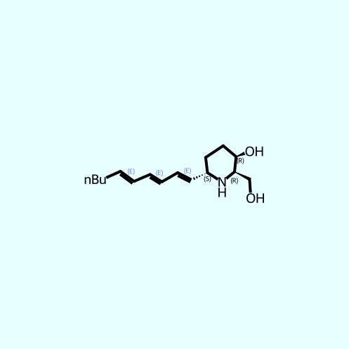 CCCC/C=C/C=C/C=C/[C@@H]1CC[C@@H](O)[C@@H](CO)N1